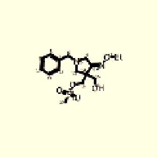 CCO/N=C1\CN(Cc2ccccc2)CC1(CO)COS(C)(=O)=O